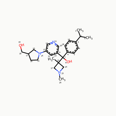 CC(C)c1ccc(C(O)(c2cncc(N3CCC(CO)C3)c2)C2(C)CN(C)C2)cc1